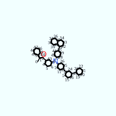 Cc1c(-c2cccc(N(c3ccc(-c4cccc(-c5ccccc5)c4)cc3)c3ccc(-c4cccc5ccccc45)cc3)c2)oc2ccccc12